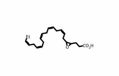 CC/C=C\C/C=C\C/C=C\C/C=C\C/C=C\CC1OC1CCC(=O)O